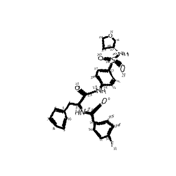 O=C(NC(Cc1ccccc1)C(=O)Nc1ccc(S(=O)(=O)N[C@@H]2CCOC2)cc1)c1ccc(F)cc1